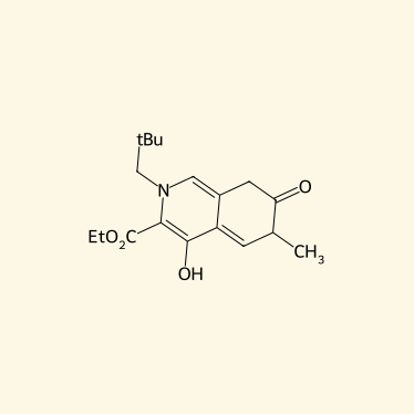 CCOC(=O)C1=C(O)C2=CC(C)C(=O)CC2=CN1CC(C)(C)C